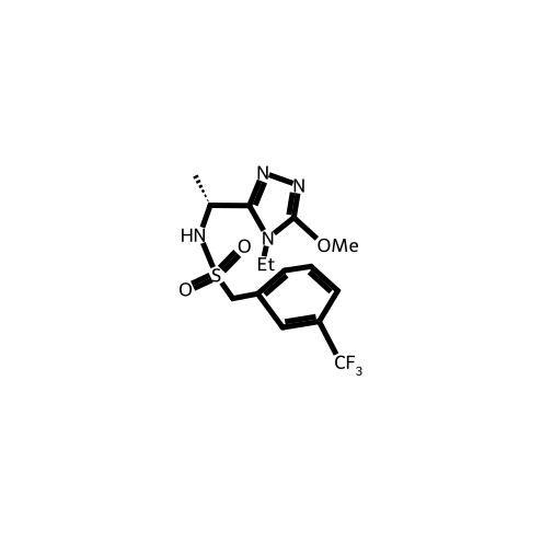 CCn1c(OC)nnc1[C@@H](C)NS(=O)(=O)Cc1cccc(C(F)(F)F)c1